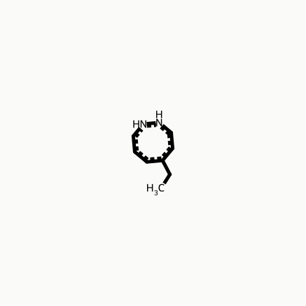 CCc1ccc[nH][nH]cc1